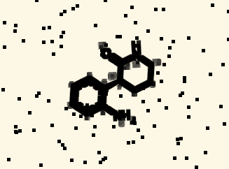 Nc1ccccc1[C@@H]1CCCNC1=O